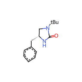 CC(C)(C)N1C[C@@H](Cc2ccccc2)NC1=O